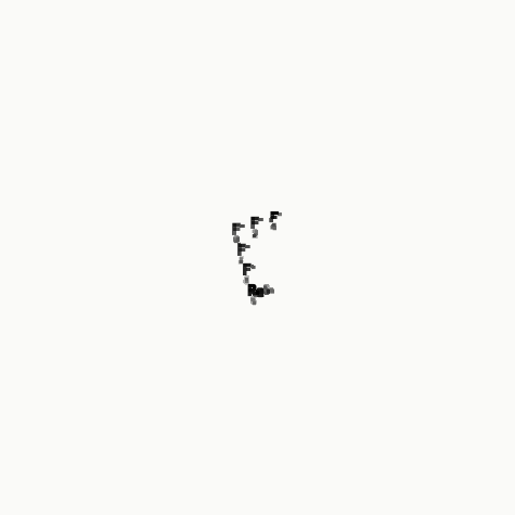 [F-].[F-].[F-].[F-].[F-].[Re+5]